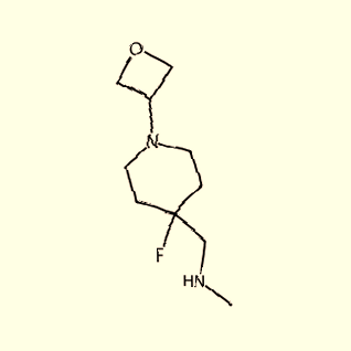 CNCC1(F)CCN(C2COC2)CC1